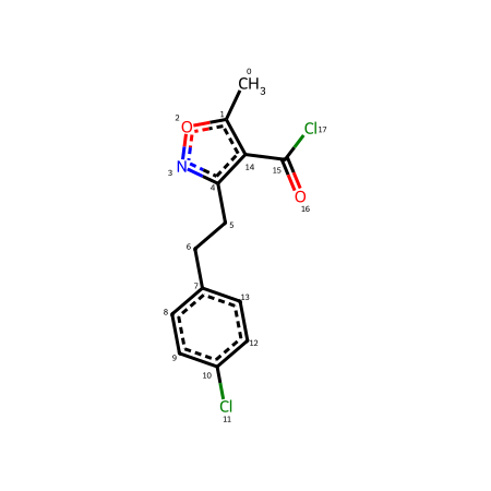 Cc1onc(CCc2ccc(Cl)cc2)c1C(=O)Cl